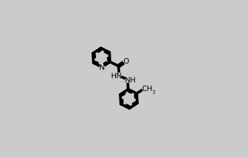 Cc1ccccc1NNC(=O)c1ccccn1